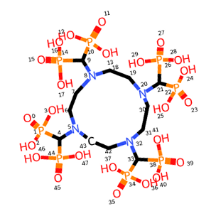 O=P(O)(O)C(N1CCN(C(P(=O)(O)O)P(=O)(O)O)CCN(C(P(=O)(O)O)P(=O)(O)O)CCN(C(P(=O)(O)O)P(=O)(O)O)CC1)P(=O)(O)O